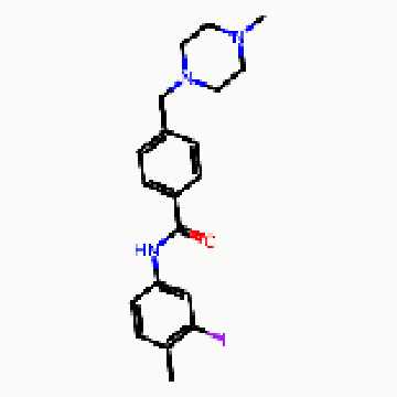 Cc1ccc(NC(=O)c2ccc(CN3CCN(C)CC3)cc2)cc1I